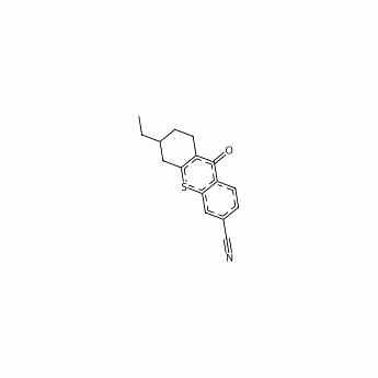 CCC1CCc2c(sc3cc(C#N)ccc3c2=O)C1